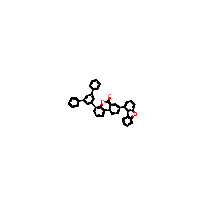 O=c1oc2c(-c3cc(-c4ccccc4)cc(-c4ccccc4)c3)cccc2c2ccc(-c3cccc4oc5ccccc5c34)cc12